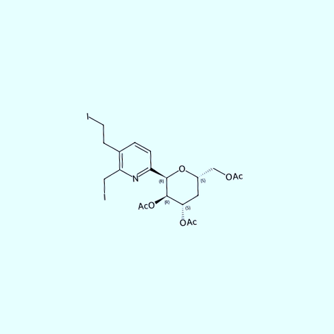 CC(=O)OC[C@@H]1C[C@H](OC(C)=O)[C@@H](OC(C)=O)[C@@H](c2ccc(CCI)c(CI)n2)O1